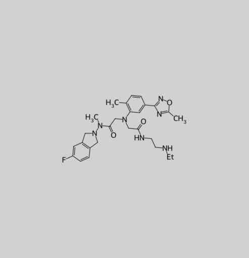 CCNCCNC(=O)CN(CC(=O)N(C)N1Cc2ccc(F)cc2C1)c1cc(-c2noc(C)n2)ccc1C